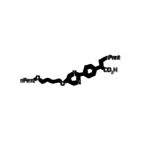 CCCCCC=C(C(=O)O)c1ccc(-c2ncc(OCCCCOCCCCC)cn2)cc1